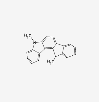 CC1c2ccccc2-c2ccc3c(c21)c1ccccc1n3C